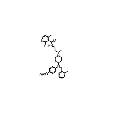 COc1ccc(N(Cc2cnccc2C)C2CCN([C@H](C)CCNC(=O)c3c(C)ccnc3Cl)CC2)cc1